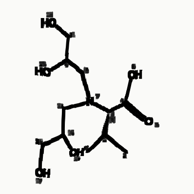 CC(C)[C@@H](C(=O)O)N(CC(O)CO)CC(O)CO